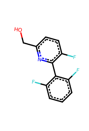 OCc1ccc(F)c(-c2c(F)cccc2F)n1